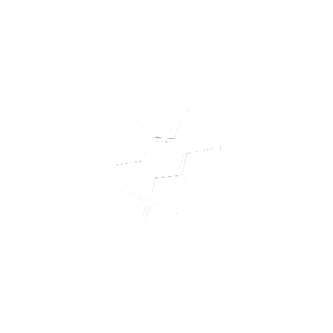 Cc1c(F)c(S(=O)(=O)Cl)c(F)c(F)c1Cl